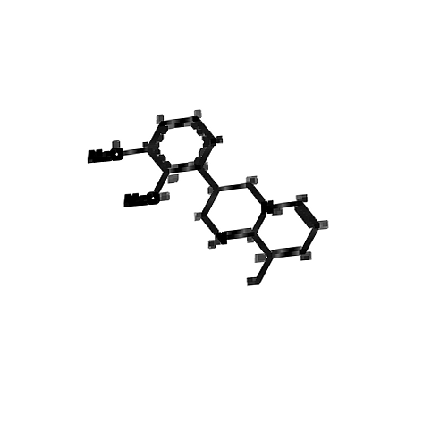 COc1cc[c]c(C2CN=C3C(C)=CC=CN3C2)c1OC